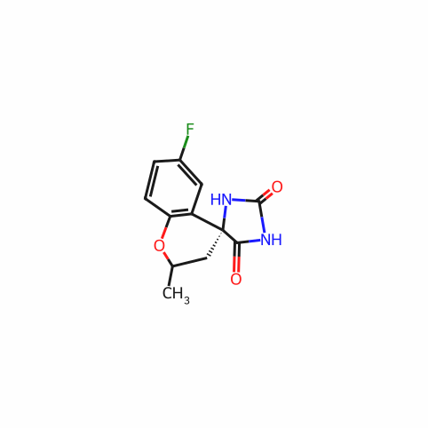 CC1C[C@@]2(NC(=O)NC2=O)c2cc(F)ccc2O1